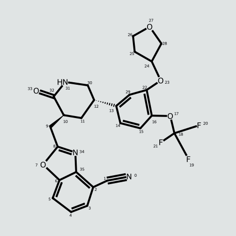 N#Cc1cccc2oc(C[C@@H]3C[C@@H](c4ccc(OC(F)(F)F)c(OC5CCOC5)c4)CNC3=O)nc12